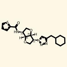 O=C(N[C@H]1CO[C@H]2[C@@H]1OC[C@@H]2n1cc(CC2CCCCC2)nn1)c1cccs1